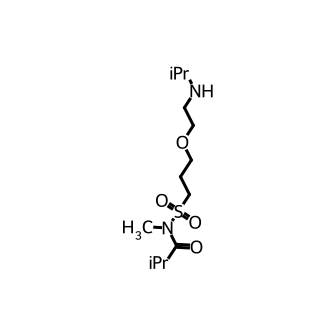 CC(C)NCCOCCCS(=O)(=O)N(C)C(=O)C(C)C